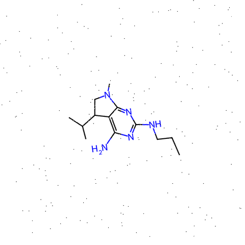 CCCNc1nc(N)c2c(n1)N(C)CC2C(C)C